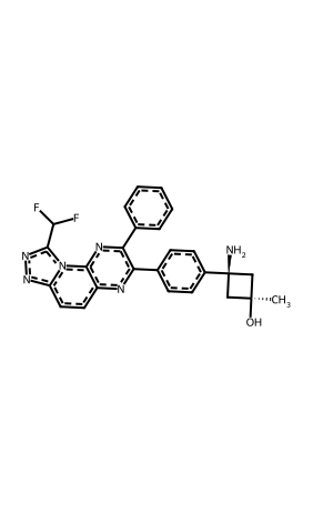 C[C@]1(O)C[C@](N)(c2ccc(-c3nc4ccc5nnc(C(F)F)n5c4nc3-c3ccccc3)cc2)C1